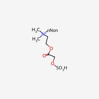 CCCCCCCCC[N+](C)(C)CCOC(=O)COS(=O)(=O)O